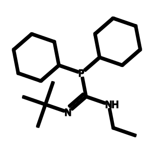 CCN/C(=N/C(C)(C)C)P(C1CCCCC1)C1CCCCC1